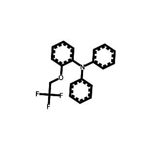 FC(F)(F)COc1ccccc1N(c1ccccc1)c1ccccc1